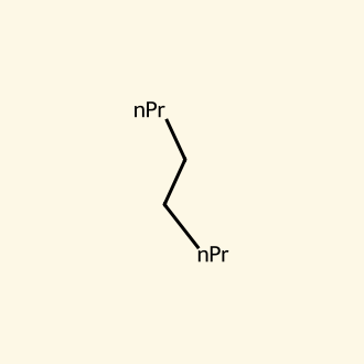 [CH2]CCCCCC[CH2]